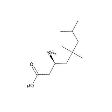 CC(C)CC(C)(C)C[C@H](N)CC(=O)O